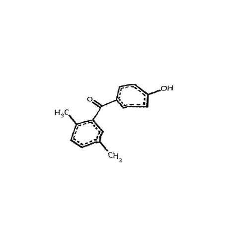 Cc1ccc(C)c(C(=O)c2ccc(O)cc2)c1